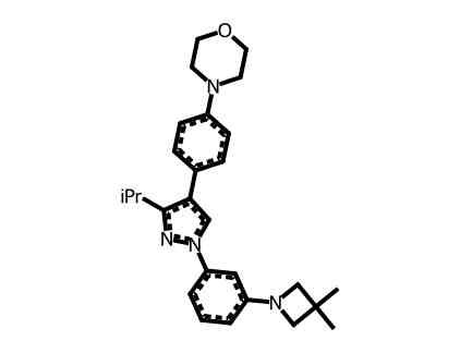 CC(C)c1nn(-c2cccc(N3CC(C)(C)C3)c2)cc1-c1ccc(N2CCOCC2)cc1